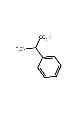 O=C(O)C(NC(F)(F)F)c1ccccc1